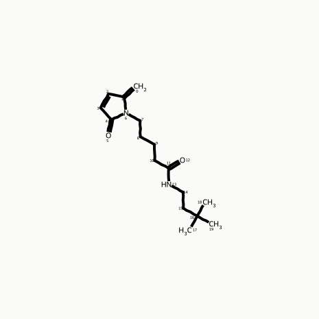 C=C1C=CC(=O)N1CCCCC(=O)NCCC(C)(C)C